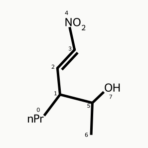 CCCC(/C=C/[N+](=O)[O-])C(C)O